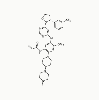 C=CC(=O)Nc1cc(Nc2cc(N3OCC[C@@H]3c3cccc(C(F)(F)F)c3)ncn2)c(OC)cc1N1CCC(N2CCN(C)CC2)CC1